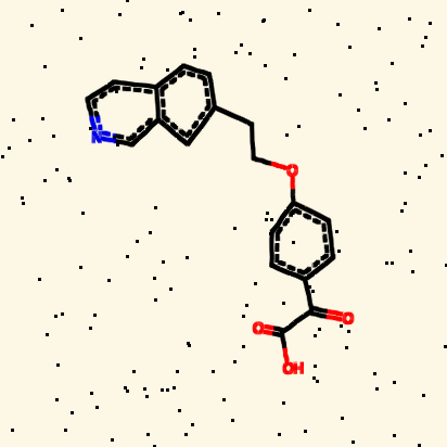 O=C(O)C(=O)c1ccc(OCCc2ccc3ccncc3c2)cc1